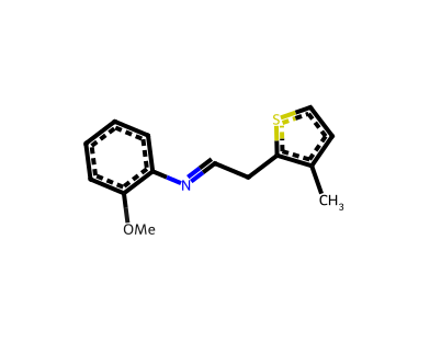 COc1ccccc1N=CCc1sccc1C